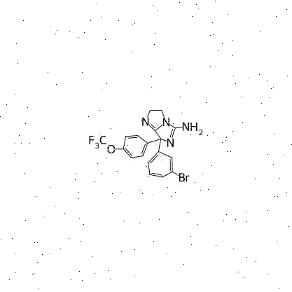 NC1=NC(c2ccc(OC(F)(F)F)cc2)(c2cccc(Br)c2)C2=NCCN12